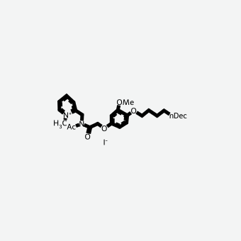 CCCCCCCCCCCCCCOc1ccc(OCC(=O)N(Cc2cccc[n+]2C)C(C)=O)cc1OC.[I-]